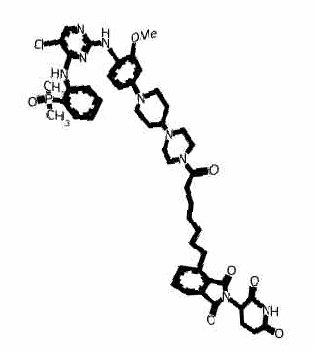 COc1cc(N2CCC(N3CCN(C(=O)CCCCCCc4cccc5c4C(=O)N(C4CCC(=O)NC4=O)C5=O)CC3)CC2)ccc1Nc1ncc(Cl)c(Nc2ccccc2P(C)(C)=O)n1